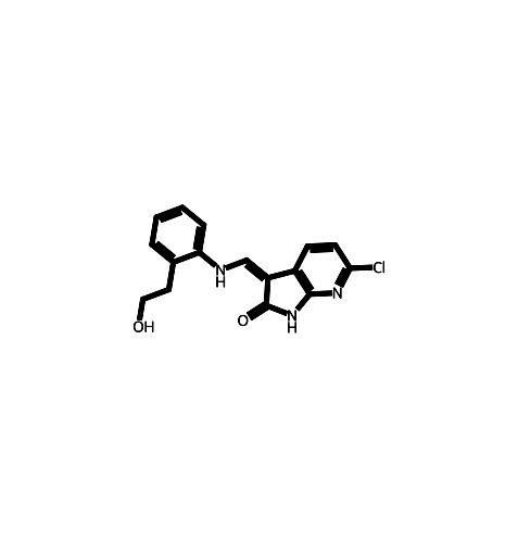 O=C1Nc2nc(Cl)ccc2C1=CNc1ccccc1CCO